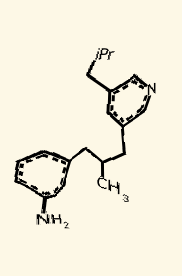 CC(C)Cc1cncc(CC(C)Cc2cccc(N)c2)c1